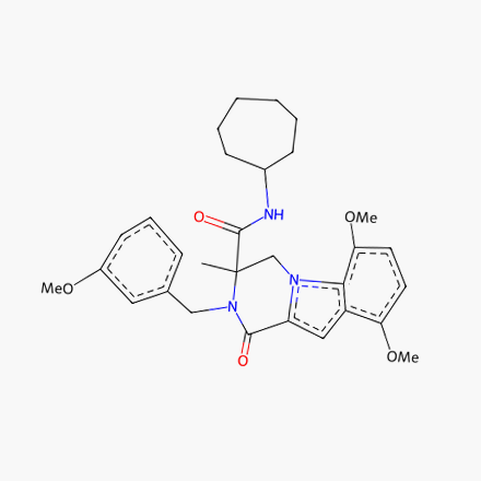 COc1cccc(CN2C(=O)c3cc4c(OC)ccc(OC)c4n3CC2(C)C(=O)NC2CCCCCC2)c1